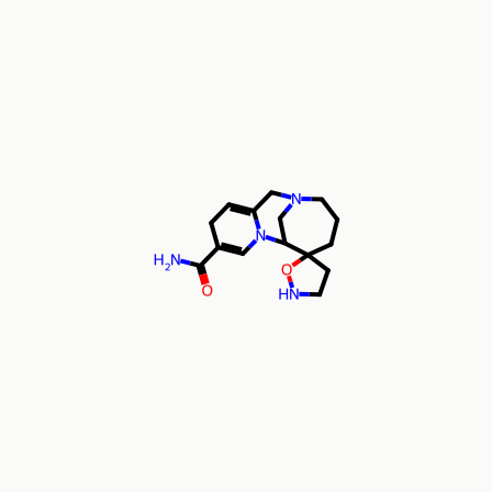 NC(=O)C1=CN2C(=CC1)CN1CCCC3(CCNO3)C2C1